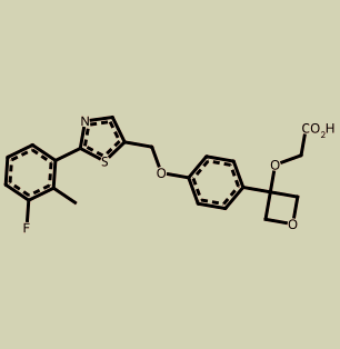 Cc1c(F)cccc1-c1ncc(COc2ccc(C3(OCC(=O)O)COC3)cc2)s1